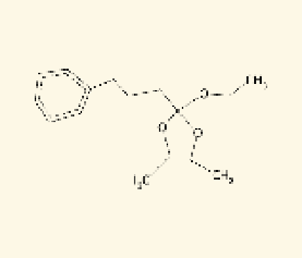 CCOC(CCCc1ccccc1)(OCC)OCC